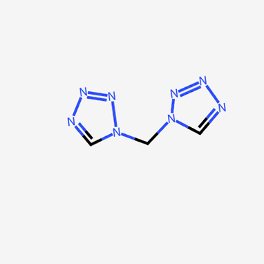 c1nnnn1Cn1cnnn1